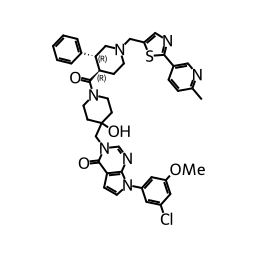 COc1cc(Cl)cc(-n2ccc3c(=O)n(CC4(O)CCN(C(=O)[C@@H]5CCN(Cc6cnc(-c7ccc(C)nc7)s6)C[C@H]5c5ccccc5)CC4)cnc32)c1